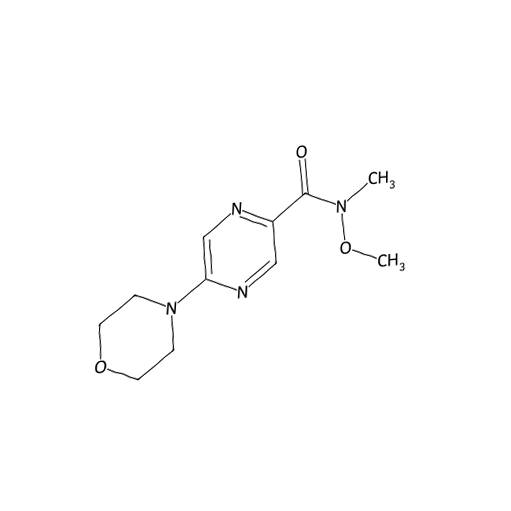 CON(C)C(=O)c1cnc(N2CCOCC2)cn1